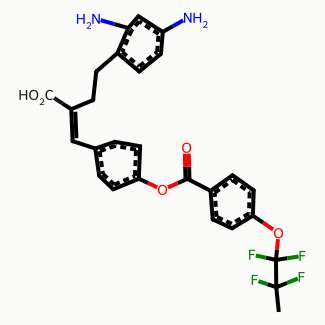 CC(F)(F)C(F)(F)Oc1ccc(C(=O)Oc2ccc(C=C(CCc3ccc(N)cc3N)C(=O)O)cc2)cc1